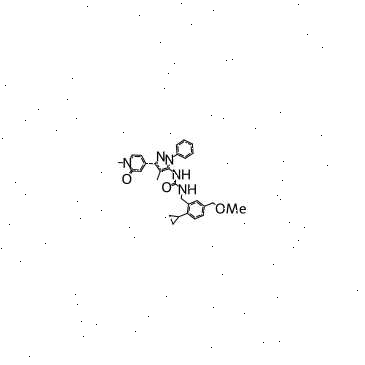 COCc1ccc(C2CC2)c(CNC(=O)Nc2c(C)c(-c3ccn(C)c(=O)c3)nn2-c2ccccc2)c1